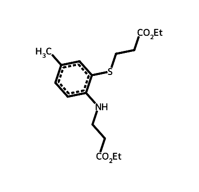 CCOC(=O)CCNc1ccc(C)cc1SCCC(=O)OCC